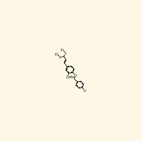 CCSC(/C=C/c1ccc(OCc2ccc(Cl)cc2)c(OC)c1)SCC